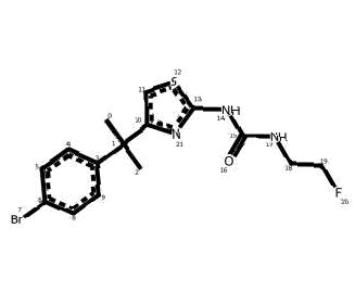 CC(C)(c1ccc(Br)cc1)c1csc(NC(=O)NCCF)n1